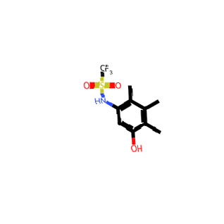 Cc1c(O)cc(NS(=O)(=O)C(F)(F)F)c(C)c1C